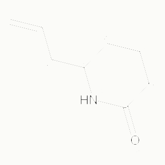 C=CCC1CCCC(=O)N1